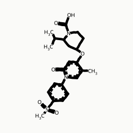 Cc1cn(-c2ccc(S(C)(=O)=O)cc2)c(=O)cc1OC1CCN(C(=O)O)C(C(C)C)C1